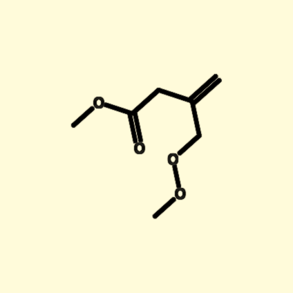 C=C(COOC)CC(=O)OC